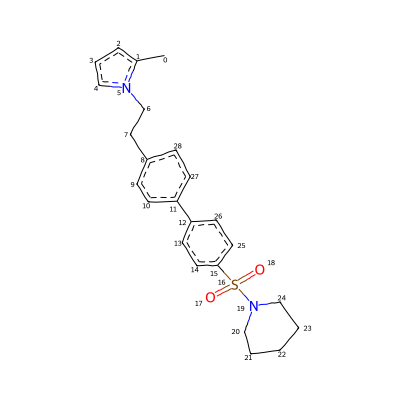 Cc1cccn1CCc1ccc(-c2ccc(S(=O)(=O)N3CCCCC3)cc2)cc1